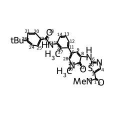 CNC(=O)c1cnc(Nc2cc(-c3cccc(NC(=O)c4ccc(C(C)(C)C)cc4)c3C)cn(C)c2=O)s1